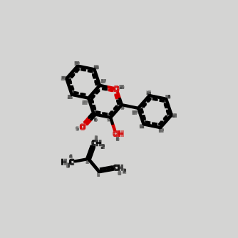 C=CC(=C)C.O=c1c(O)c(-c2ccccc2)oc2ccccc12